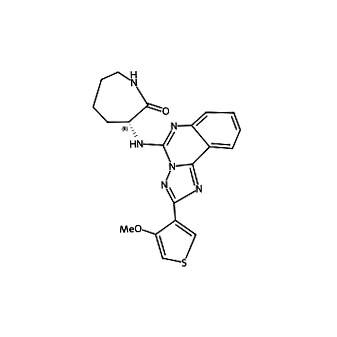 COc1cscc1-c1nc2c3ccccc3nc(N[C@@H]3CCCCNC3=O)n2n1